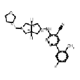 Cc1ccc(F)cc1-c1cc(C#N)c(N[C@H]2C[C@@H]3CN(C[C@@H]4CCOC4)C[C@@H]3C2)nn1